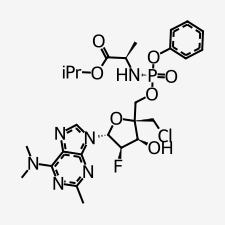 Cc1nc(N(C)C)c2ncn([C@@H]3O[C@](CCl)(CO[P@@](=O)(N[C@H](C)C(=O)OC(C)C)Oc4ccccc4)[C@@H](O)[C@H]3F)c2n1